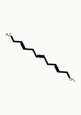 CC/C=C/C/C=C/C/C=C/CC